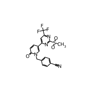 CS(=O)(=O)c1nc(-c2ccc(=O)n(Cc3ccc(C#N)cc3)c2)cc(C(F)(F)F)n1